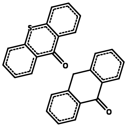 O=C1c2ccccc2Cc2ccccc21.O=c1c2ccccc2sc2ccccc12